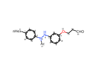 CCCCCCc1ccc(N(Nc2cccc(OCCC=O)c2)C(C)=O)cc1